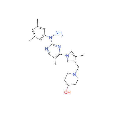 Cc1cc(C)cc(N(N)c2ncc(C)c(-n3cc(C)c(CN4CCC(O)CC4)c3)n2)c1